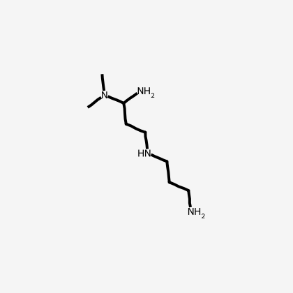 CN(C)C(N)CCNCCCN